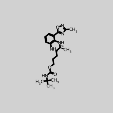 Cc1noc(-c2cccc(N)c2N[C@@H](C)CCCCOC(=O)NC(C)(C)C)n1